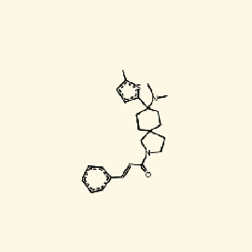 Cc1ccc(C2(N(C)C)CCC3(CCN(C(=O)/C=C/c4ccccc4)C3)CC2)s1